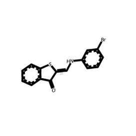 O=C1/C(=C/Nc2cccc(Br)c2)Sc2ccccc21